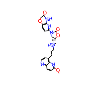 COc1ccc2nccc(CCCNC[C@@H]3CN(c4ccc5c(n4)NC(=O)CO5)C(=O)O3)c2n1